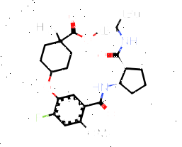 COc1cc(F)c(OC2CCC(C)(C(=O)OC(C)(C)C)CC2)cc1C(=O)N[C@@H]1CCC[C@@H]1C(=O)NCC(C)(C)C